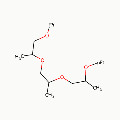 [CH2]C(C)OCC(C)OCC(C)OCC(C)OC[CH]C